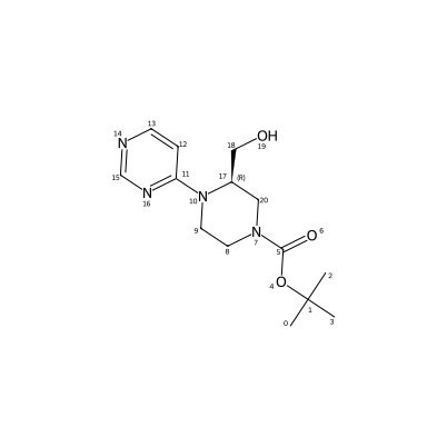 CC(C)(C)OC(=O)N1CCN(c2ccncn2)[C@@H](CO)C1